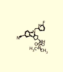 CN(C)S(=O)(=O)N[C@H]1Cc2c(n(Cc3cccc(F)n3)c3ccc(C#N)cc23)C1